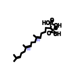 CC(C)=CCC/C(C)=C/CC/C(C)=C/CCCC(P(=O)(O)O)S(=O)(=O)O